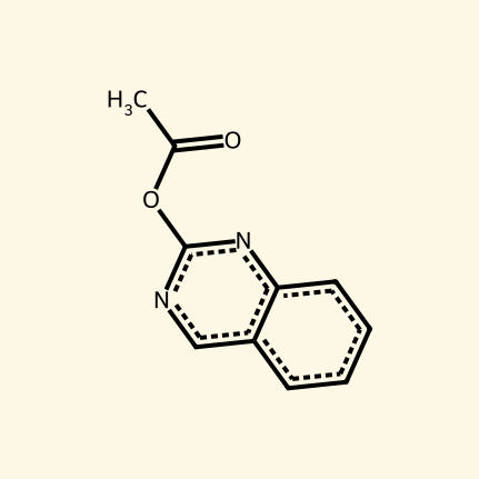 CC(=O)Oc1ncc2ccccc2n1